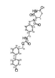 O=C1CCC(N2Cc3ccc(CNC(=O)OCc4cccc(-c5ccc(Cl)cc5)c4)cc3C2=O)C(=O)N1